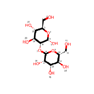 OC[C@H]1O[C@H](O)[C@H](OC2O[C@H](CO)[C@@H](O)[C@H](O)[C@@H]2O)[C@@H](O)[C@@H]1O